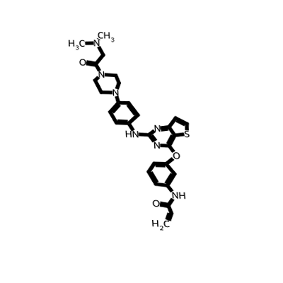 C=CC(=O)Nc1cccc(Oc2nc(Nc3ccc(N4CCN(C(=O)CN(C)C)CC4)cc3)nc3ccsc23)c1